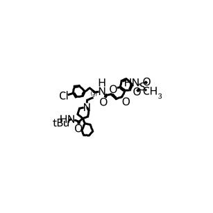 CC(C)(C)NC(=O)C1(C2CCCCC2)CCN(CC[C@H](Cc2ccc(Cl)cc2)NC(=O)c2cc(=O)c3cc(NS(C)(=O)=O)ccc3o2)CC1